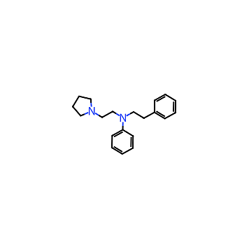 c1ccc(CCN(CCN2CCCC2)c2ccccc2)cc1